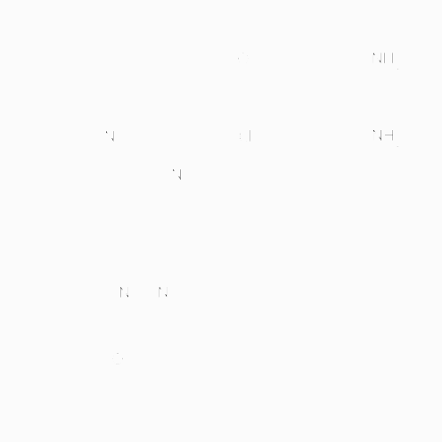 Nc1ccc(Oc2ccc3ncc(-c4cnn(C5CCCCO5)c4)nc3c2Cl)cc1N